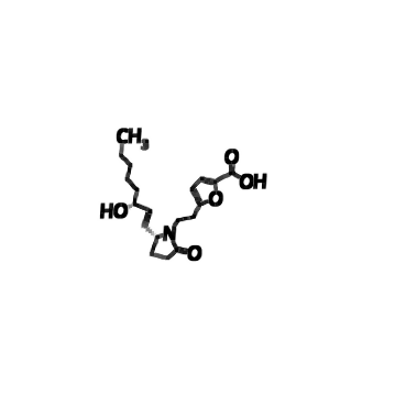 CCCCC[C@@H](O)/C=C/[C@H]1CCC(=O)N1CCc1ccc(C(=O)O)o1